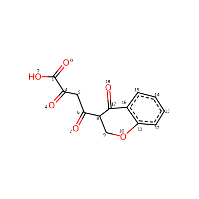 O=C(O)C(=O)CC(=O)C1COc2ccccc2C1=O